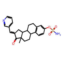 CC12CCC3c4ccc(OS(N)(=O)=O)cc4CCC3C1CC(=Cc1cccnc1)C2=O